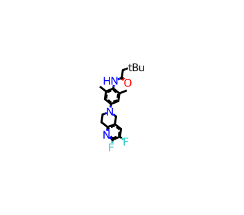 Cc1cc(N2CCc3nc(F)c(F)cc3C2)cc(C)c1NC(=O)CC(C)(C)C